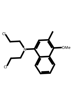 COc1c(C)cc(N(CCCl)CCCl)c2ccccc12